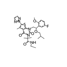 CCNC(=O)C(C)(C)n1c(=O)c2c(C)c(-n3nccn3)sc2n(CC(OCC(C)C)c2cc(F)ccc2OC)c1=O